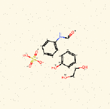 O=CNc1ccccc1.O=S(=O)(O)O.OCCO.Oc1ccccc1